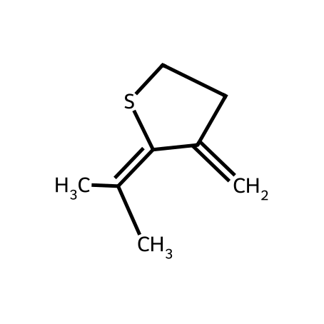 C=C1CCSC1=C(C)C